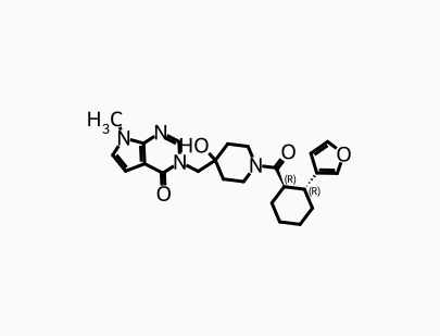 Cn1ccc2c(=O)n(CC3(O)CCN(C(=O)[C@@H]4CCCC[C@H]4c4ccoc4)CC3)cnc21